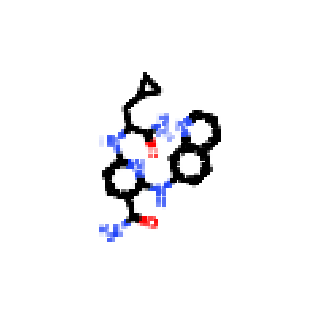 NC(=O)c1ccc(NC(CC2CC2)C(N)=O)nc1Nc1ccc2cccnc2c1